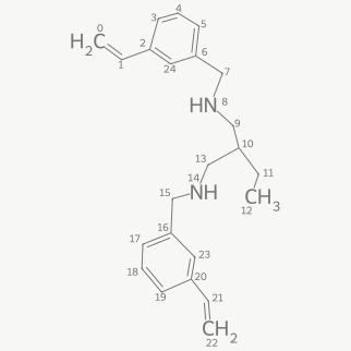 C=Cc1cccc(CNCC(CC)CNCc2cccc(C=C)c2)c1